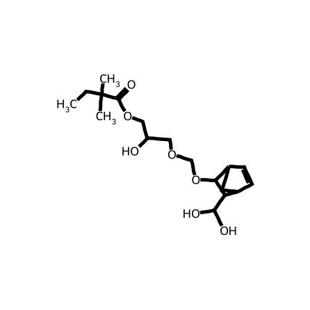 CCC(C)(C)C(=O)OCC(O)COCOC1C2C=CC(C2)C1C(O)O